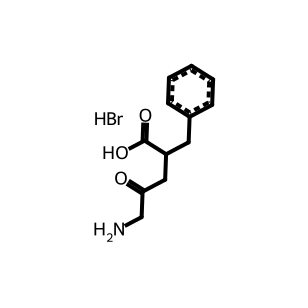 Br.NCC(=O)CC(Cc1ccccc1)C(=O)O